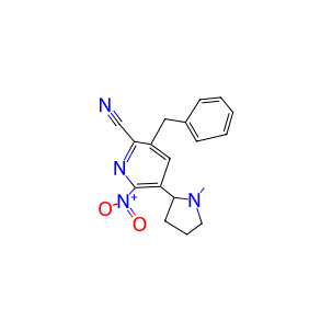 CN1CCCC1c1cc(Cc2ccccc2)c(C#N)nc1[N+](=O)[O-]